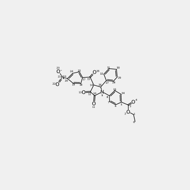 CCOC(=O)c1ccc(N2C(=O)C(=O)C(C(=O)c3ccc([N+](=O)[O-])cc3)C2c2ccccc2)cc1